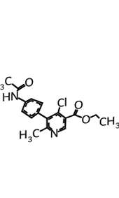 CCOC(=O)c1cnc(C)c(-c2ccc(NC(C)=O)cc2)c1Cl